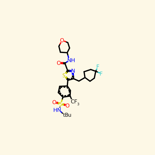 CC(C)(C)NS(=O)(=O)c1ccc(-c2sc(C(=O)NC3CCOCC3)nc2CC2CCC(F)(F)CC2)cc1C(F)(F)F